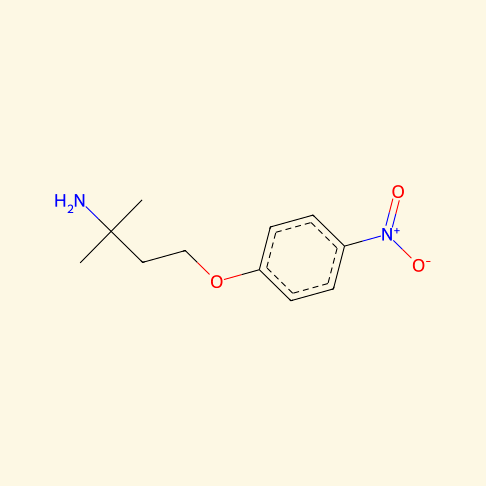 CC(C)(N)CCOc1ccc([N+](=O)[O-])cc1